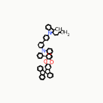 C=C/C=C\c1c(C)c2ccccc2n1-c1ccc(C2=CCCC(N(c3ccccc3)c3ccccc3-c3cccc4c3OC3=CC5C(C=C3O4)c3ccccc3C53c4ccccc4-c4ccccc43)=C2)cc1